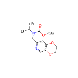 CCCC(CC)N(Cc1cc2c(cn1)OCCO2)C(=O)OC(C)(C)C